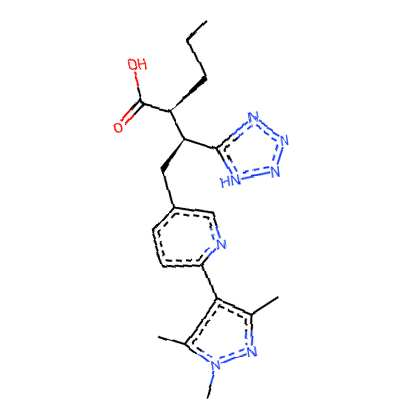 CCC[C@H](C(=O)O)[C@H](Cc1ccc(-c2c(C)nn(C)c2C)nc1)c1nnn[nH]1